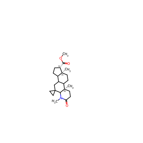 COC(=O)[C@H]1CCC2C3CC4(CC4)C4N(C)C(=O)CC[C@]4(C)C3CC[C@@]21C